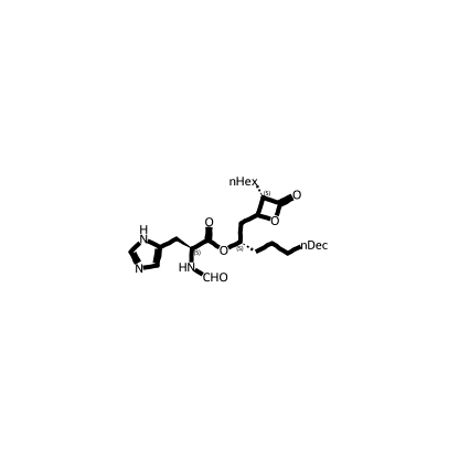 CCCCCCCCCCCCC[C@@H](CC1OC(=O)[C@H]1CCCCCC)OC(=O)[C@H](Cc1cnc[nH]1)NC=O